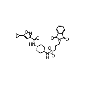 O=C(N[C@H]1CC[C@H](NS(=O)(=O)CCCN2C(=O)c3ccccc3C2=O)CC1)c1cc(C2CC2)on1